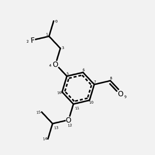 CC(F)COc1cc(C=O)cc(OC(C)C)c1